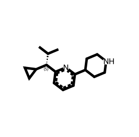 CC(C)[C@H](c1cccc(C2CCNCC2)n1)C1CC1